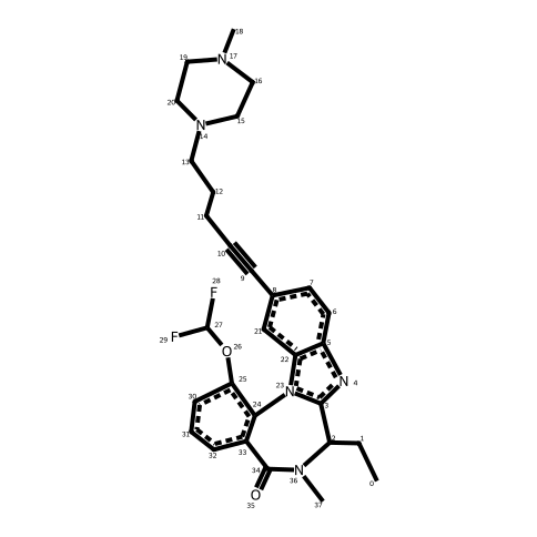 CCC1c2nc3ccc(C#CCCCN4CCN(C)CC4)cc3n2-c2c(OC(F)F)cccc2C(=O)N1C